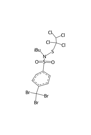 CCC(C)N(SC(Cl)(Cl)C(Cl)Cl)S(=O)(=O)c1ccc(C(Br)(Br)Br)cc1